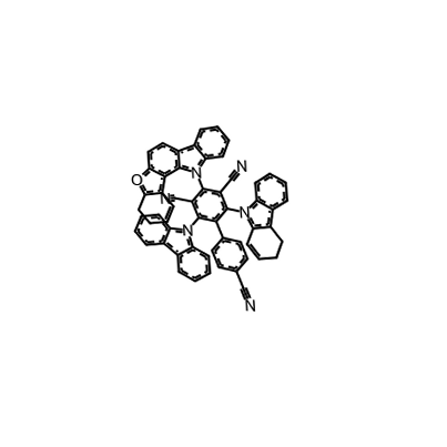 N#Cc1ccc(-c2c(-n3c4c(c5ccccc53)CCC=C4)c(C#N)c(-n3c4ccccc4c4ccc5oc6c(c5c43)C=CCC6)c(C#N)c2-n2c3ccccc3c3ccccc32)cc1